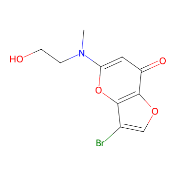 CN(CCO)c1cc(=O)c2occ(Br)c2o1